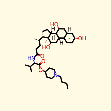 CCCCN1CCC(OC(=O)[C@H](NC(=O)CC[C@H](C)[C@@H]2CC[C@@H]3[C@@H]4[C@@H](C[C@@H](O)[C@]32C)[C@]2(C)CC[C@H](O)C[C@@H]2C[C@@H]4O)C(C)C)CC1